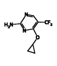 Nc1ncc(C(F)(F)F)c(OC2CC2)n1